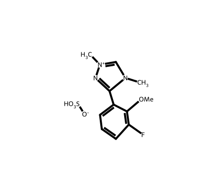 COc1c(F)cccc1-c1n[n+](C)cn1C.O=S(=O)([O-])O